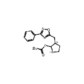 CC(C)(C)C(=O)OC1NCC[C@@H]1Cc1nc(-c2ccccc2)no1